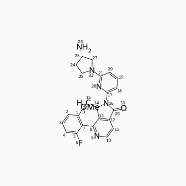 COc1cccc(F)c1-c1nccc2c1C(C)N(c1cccc(N3CC[C@H](N)C3)n1)C2=O